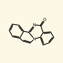 O=c1nc2c3ccccc3ccn2c2ccccc12